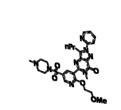 CCCc1c2nc(-c3cc(S(=O)(=O)N4CCN(C)CC4)cnc3OCCOC)n(C)c(=O)c2nn1-c1ccccn1